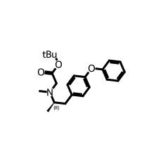 C[C@H](Cc1ccc(Oc2ccccc2)cc1)N(C)CC(=O)OC(C)(C)C